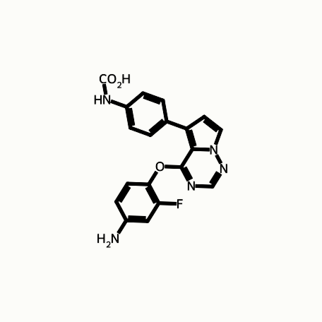 Nc1ccc(Oc2ncnn3ccc(-c4ccc(NC(=O)O)cc4)c23)c(F)c1